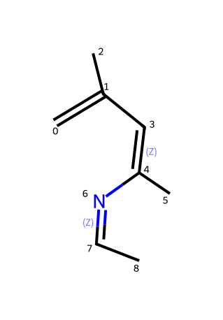 C=C(C)/C=C(C)\N=C/C